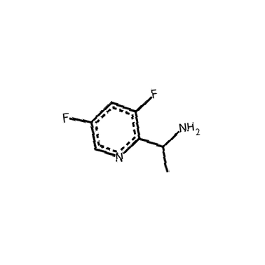 CC(N)c1ncc(F)cc1F